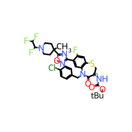 CC(C)(C)OC(=O)N[C@H]1CSc2cc(F)c(-c3noc(C4(C)CCN(C(F)C(F)F)CC4)n3)cc2N(Cc2ccc(Cl)cc2)C1=O